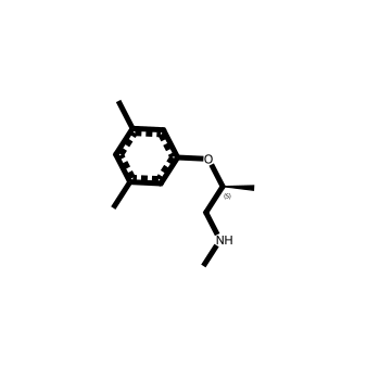 CNC[C@H](C)Oc1cc(C)cc(C)c1